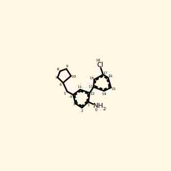 Nc1ccc(CC2CCCC2)cc1-c1cccc(Cl)c1